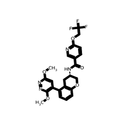 COc1cc(-c2cccc3c2C[C@H](NC(=O)c2ccc(OCC(F)(F)F)nc2)CO3)c(OC)nn1